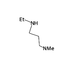 CCNCCCNC